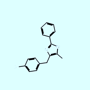 Cc1[nH]c(-c2ccccc2)nc1Cc1ccc(Br)cc1